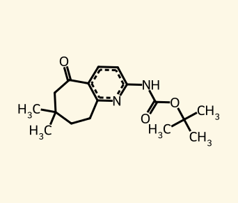 CC1(C)CCc2nc(NC(=O)OC(C)(C)C)ccc2C(=O)C1